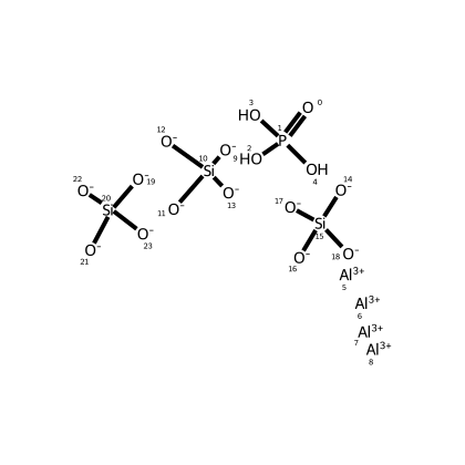 O=P(O)(O)O.[Al+3].[Al+3].[Al+3].[Al+3].[O-][Si]([O-])([O-])[O-].[O-][Si]([O-])([O-])[O-].[O-][Si]([O-])([O-])[O-]